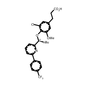 CCCC[C@H](Oc1c(Cl)cc(CCC(=O)O)cc1OC)c1cccc(-c2ccc(C(F)(F)F)cc2)n1